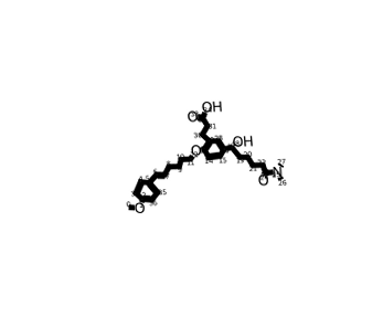 COc1ccc(/C=C/CCCCOc2ccc(C(O)CCCCC(=O)N(C)C)cc2CCC(=O)O)cc1